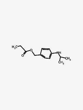 CCC(=O)OCc1ccc(NC(C)C)cc1